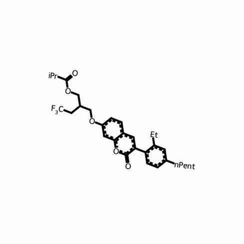 CCCCCc1ccc(-c2cc3ccc(OCC(COC(=O)C(C)C)CC(F)(F)F)cc3oc2=O)c(CC)c1